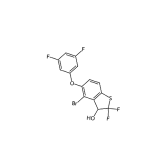 OC1c2c(ccc(Oc3cc(F)cc(F)c3)c2Br)SC1(F)F